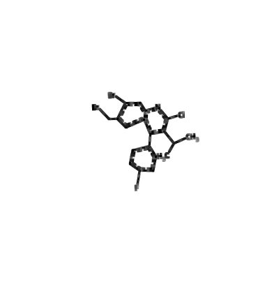 CC(C)c1c(Cl)nc2cc(Br)c(CBr)cc2c1-c1ccc(F)cc1